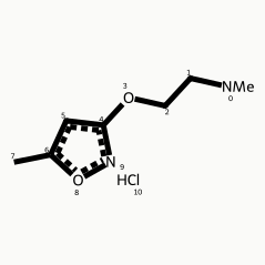 CNCCOc1cc(C)on1.Cl